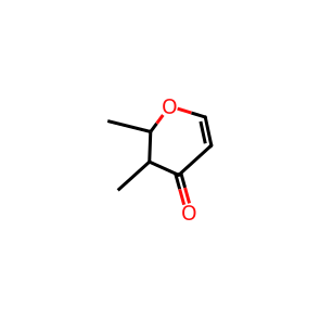 CC1OC=CC(=O)C1C